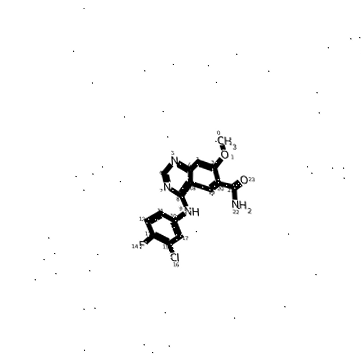 COc1cc2ncnc(Nc3ccc(F)c(Cl)c3)c2cc1C(N)=O